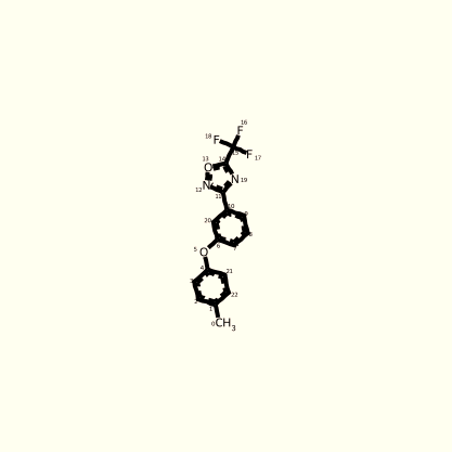 Cc1ccc(Oc2[c]ccc(-c3noc(C(F)(F)F)n3)c2)cc1